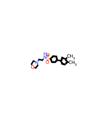 Cc1ccc(-c2ccc(S(=O)(=O)NCCN3CCOCC3)cc2)cc1C